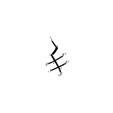 FC(F)(I)C(F)(F)C=CI